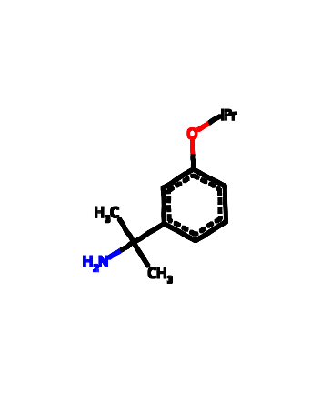 CC(C)Oc1cccc(C(C)(C)N)c1